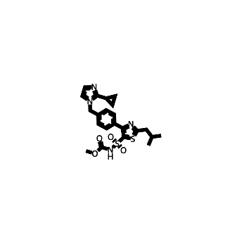 COC(=O)NS(=O)(=O)c1sc(CC(C)C)nc1-c1ccc(Cn2ccnc2C2CC2)cc1